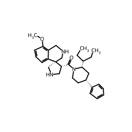 CCC(CC)[C@@H]1C[C@H](c2ccccc2)CCN1C(=O)[C@@H]1CNC[C@]12CNCc1c(OC)cccc12